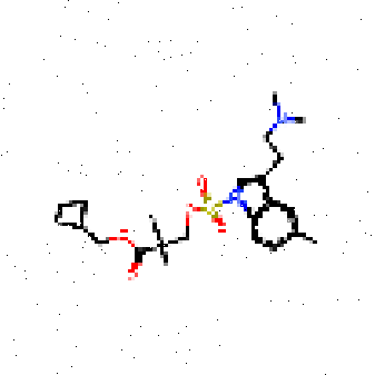 Cc1ccc2c(c1)c(CCN(C)C)cn2S(=O)(=O)OCC(C)(C)C(=O)OCC1CCC1